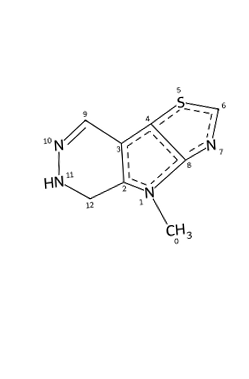 Cn1c2c(c3scnc31)C=NNC2